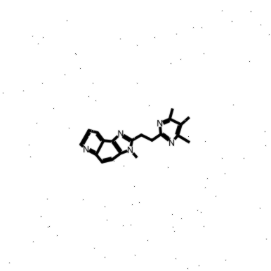 Cc1nc(CCc2nc3c4cccnc4ccc3n2C)nc(C)c1C